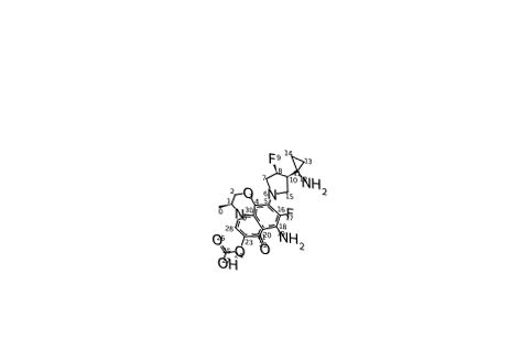 C[C@H]1COc2c(N3C[C@@H](F)[C@@H](C4(N)CC4)C3)c(F)c(N)c3c(=O)c(OC(=O)O)cn1c23